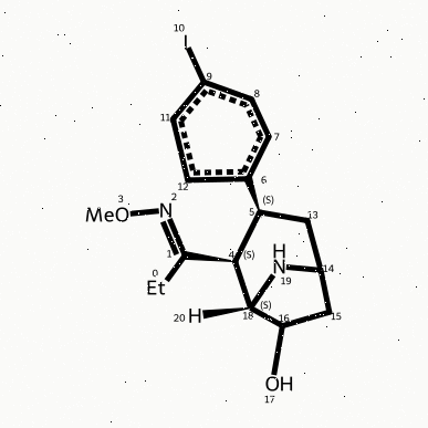 CCC(=NOC)[C@H]1[C@@H](c2ccc(I)cc2)CC2CC(O)[C@H]1N2